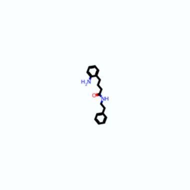 Nc1ccccc1CCCC(=O)NCCc1ccccc1